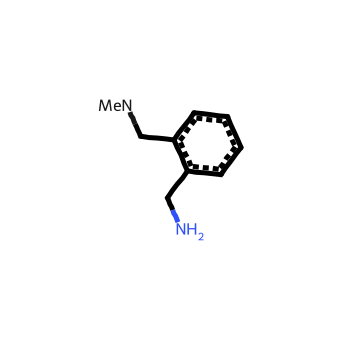 CNCc1ccccc1CN